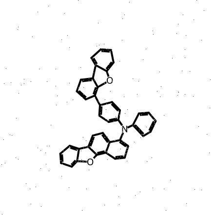 c1ccc(N(c2ccc(-c3cccc4c3oc3ccccc34)cc2)c2cccc3c2ccc2c4ccccc4oc32)cc1